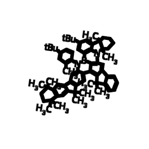 Cc1cc(C(C)(C)C)ccc1N1B2c3cc(C(C)(C)C)cc4c3N(c3cc5c(c(c32)-c2cc3c(cc21)-c1cc2c(cc1C3(C)C)C(C)(C)CCC2(C)C)C(C)(C)c1ccccc1-5)C1(C)CCCCC41C